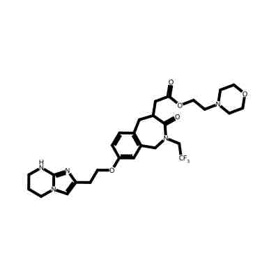 O=C(CC1Cc2ccc(OCCc3cn4c(n3)NCCC4)cc2CN(CC(F)(F)F)C1=O)OCCN1CCOCC1